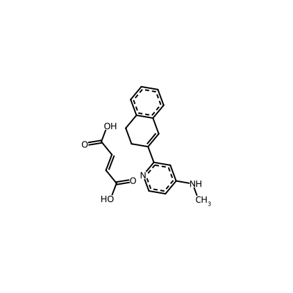 CNc1ccnc(C2=Cc3ccccc3CC2)c1.O=C(O)/C=C/C(=O)O